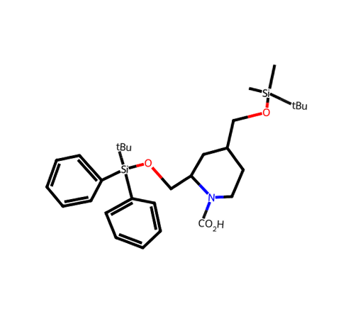 CC(C)(C)[Si](C)(C)OCC1CCN(C(=O)O)C(CO[Si](c2ccccc2)(c2ccccc2)C(C)(C)C)C1